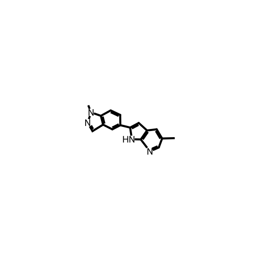 Cc1cnc2[nH]c(-c3ccc4c(cnn4C)c3)cc2c1